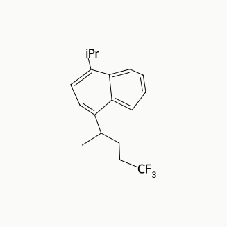 CC(C)c1ccc(C(C)CCC(F)(F)F)c2ccccc12